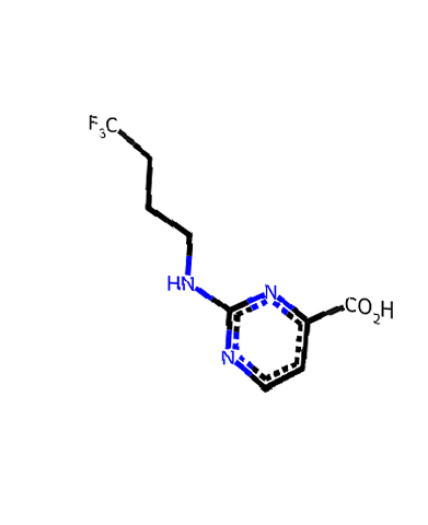 O=C(O)c1ccnc(NCCCC(F)(F)F)n1